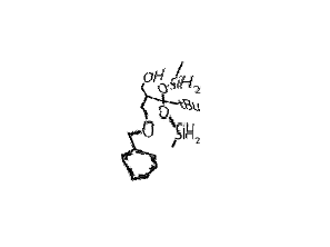 C[SiH2]OC(O[SiH2]C)(C(CO)COCc1ccccc1)C(C)(C)C